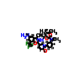 CC(NC(=O)c1ccc(=O)n(-c2cccc(N(C)C(=O)OC(C)(C)C)c2)c1)c1cc(N)cc(C(F)(F)F)c1